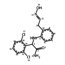 NC(=O)C(Nc1ccccc1C/C=N/O)c1c(Cl)cccc1Cl